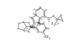 FC(F)(F)c1cc(N2CC3CCC(C2)C3Nc2nc3c(OCC4(C(F)(F)F)CC4)cccn3n2)ccn1